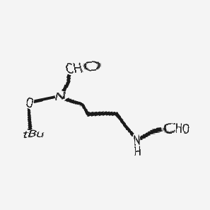 CC(C)(C)ON(C=O)CCNC=O